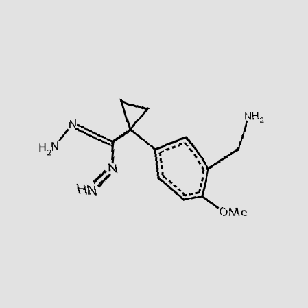 COc1ccc(C2(/C(N=N)=N/N)CC2)cc1CN